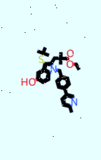 CCOC(=O)C(C)(C)Cc1c(SC(C)(C)C)c2cc(O)ccc2n1Cc1ccc(-c2ccc(C)nc2)cc1